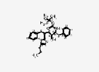 CCCc1cnc(C(Cc2ccccc2)CC(O)[C@H](Cc2ccccc2)NC(=O)OC(C)(C)C)s1